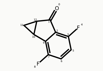 O=C1c2c(F)ccc(F)c2C2CC12